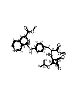 COC(=O)c1cc2ccncc2c(Nc2ccc(C[C@H](Nc3c(OC(C)C)c(=O)c3=O)C(=O)OC)cc2)n1